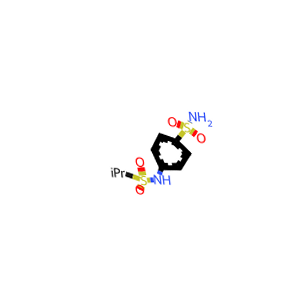 CC(C)S(=O)(=O)Nc1ccc(S(N)(=O)=O)cc1